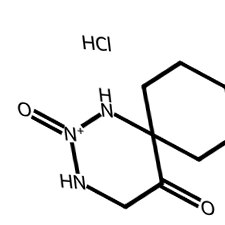 Cl.O=C1CN[N+](=O)NC12CCCCC2